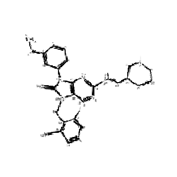 COc1cccc(-n2c(=O)n(Cc3c(F)cccc3F)c3cnc(NCC4CCCNC4)nc32)c1